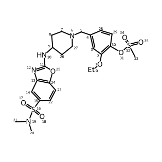 CCOc1cc(CN2CCC(Nc3nc4cc(S(=O)(=O)N(C)C)ccc4o3)CC2)ccc1OS(C)(=O)=O